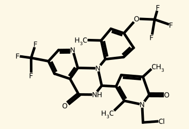 Cc1cc(OC(F)(F)F)ccc1N1c2ncc(C(F)(F)F)cc2C(=O)NC1c1cc(C)c(=O)n(CCl)c1C